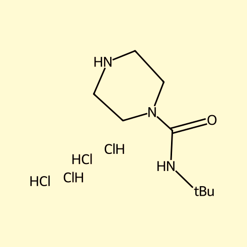 CC(C)(C)NC(=O)N1CCNCC1.Cl.Cl.Cl.Cl